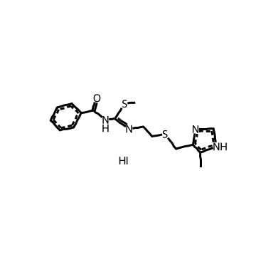 CS/C(=N\CCSCc1nc[nH]c1C)NC(=O)c1ccccc1.I